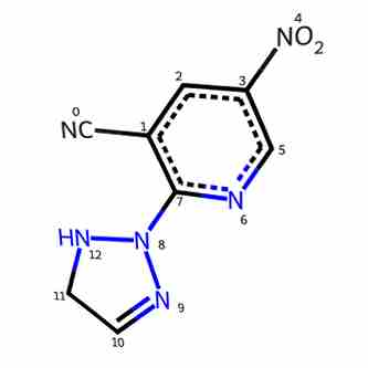 N#Cc1cc([N+](=O)[O-])cnc1N1N=CCN1